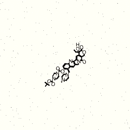 CC[C@@]1(O)C(=O)OCc2c1cc1n(c2=O)Cc2cc3c(CN4CCN(C)CC4)c(OC(=O)N4CCN(C(=O)OC(C)(C)C)CC4)ccc3nc2-1